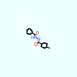 Cc1ccc(C(=O)[N]NC(=O)c2ccccc2)cc1